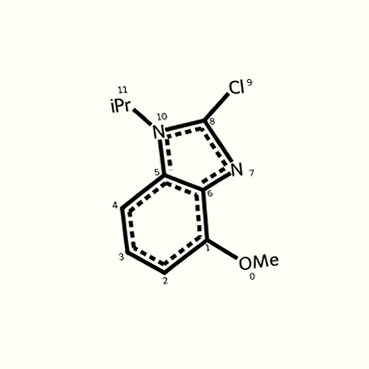 COc1cccc2c1nc(Cl)n2C(C)C